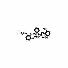 COc1c(CCN[C@H](c2ccccc2)[C@H]2CNc3cccc(C#N)c3N2)cccc1CC(=O)O